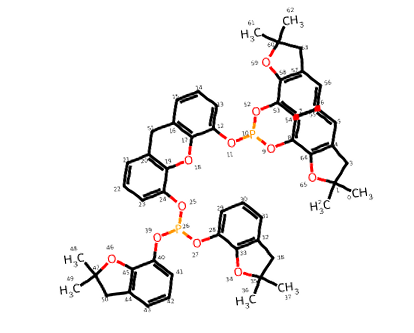 CC1(C)Cc2cccc(OP(Oc3cccc4c3Oc3c(cccc3OP(Oc3cccc5c3OC(C)(C)C5)Oc3cccc5c3OC(C)(C)C5)C4)Oc3cccc4c3OC(C)(C)C4)c2O1